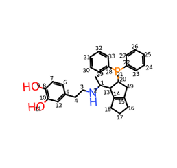 CC(NCCc1ccc(O)c(O)c1)C1C2=C(CCC2)CC1P(c1ccccc1)c1ccccc1